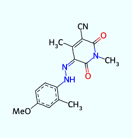 COc1ccc(N/N=C2\C(=O)N(C)C(=O)C(C#N)=C2C)c(C)c1